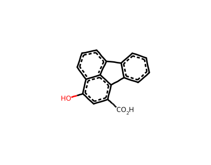 O=C(O)c1cc(O)c2cccc3c2c1-c1ccccc1-3